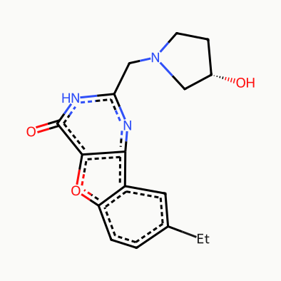 CCc1ccc2oc3c(=O)[nH]c(CN4CC[C@H](O)C4)nc3c2c1